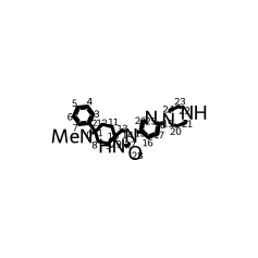 CNC1(c2ccccc2)CCC2(CC1)CN(c1ccc(N3CCNCC3)nc1)C(=O)N2